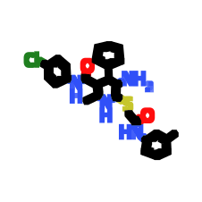 CC1=C(C(=O)Nc2ccc(Cl)cc2)C(c2ccccc2)C(N)=C(SCC(=O)Nc2cccc(C)c2)N1